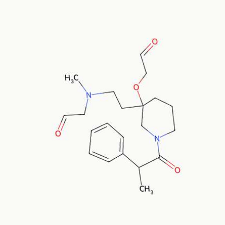 CC(C(=O)N1CCCC(CCN(C)CC=O)(OCC=O)C1)c1ccccc1